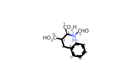 O=CN[C@H](C(=O)O)C(Cc1ccccc1)C(=O)O